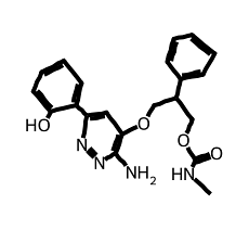 CNC(=O)OCC(COc1cc(-c2ccccc2O)nnc1N)c1ccccc1